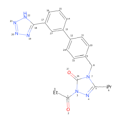 CCC(=O)n1nc(C(C)C)n(Cc2ccc(-c3cccc(-c4nnn[nH]4)c3)cc2)c1=O